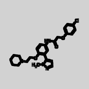 Cn1nccc1-c1cc(NC(=O)COc2ccc(Cl)cc2)ccc1OCCN1CCCCC1